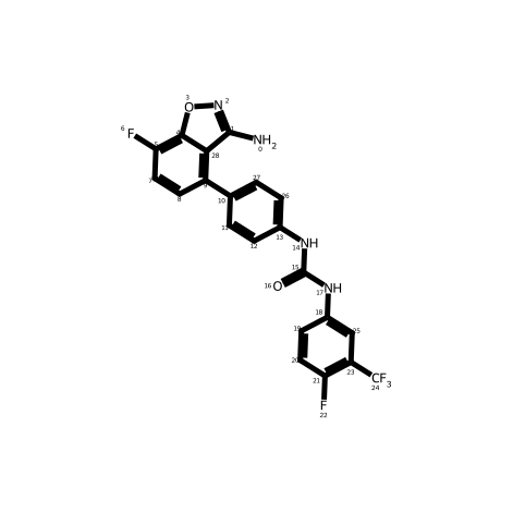 Nc1noc2c(F)ccc(-c3ccc(NC(=O)Nc4ccc(F)c(C(F)(F)F)c4)cc3)c12